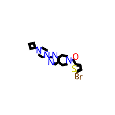 O=C(c1ccc(Br)s1)N1CCc2cnc(N3CCN(C4CCC4)CC3)nc2CC1